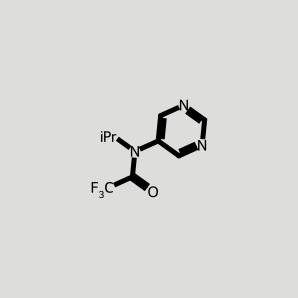 CC(C)N(C(=O)C(F)(F)F)c1cncnc1